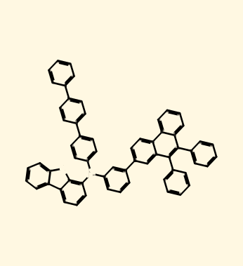 c1ccc(-c2ccc(-c3ccc(N(c4cccc(-c5ccc6c(c5)c(-c5ccccc5)c(-c5ccccc5)c5ccccc56)c4)c4cccc5c4sc4ccccc45)cc3)cc2)cc1